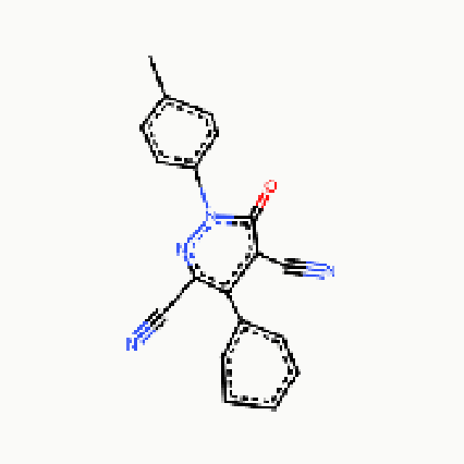 Cc1ccc(-n2nc(C#N)c(-c3ccccc3)c(C#N)c2=O)cc1